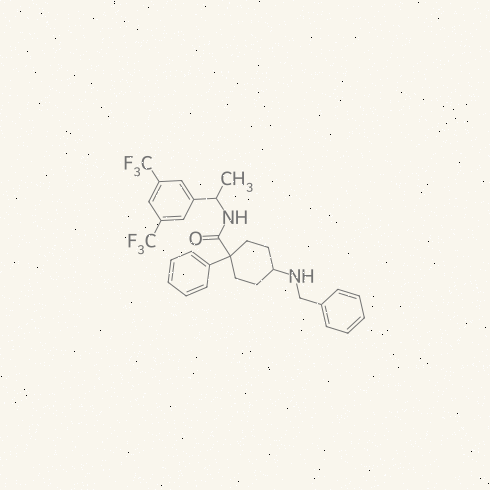 CC(NC(=O)C1(c2ccccc2)CCC(NCc2ccccc2)CC1)c1cc(C(F)(F)F)cc(C(F)(F)F)c1